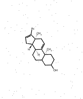 CC(=O)C1=CC[C@H]2[C@@H]3CCC4CC(O)CC[C@]4(C)C3=CC[C@]12C